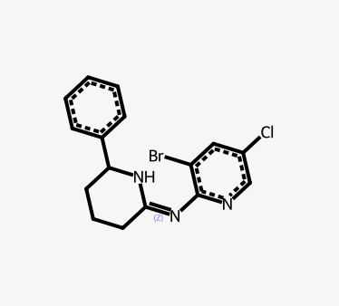 Clc1cnc(/N=C2/CCCC(c3ccccc3)N2)c(Br)c1